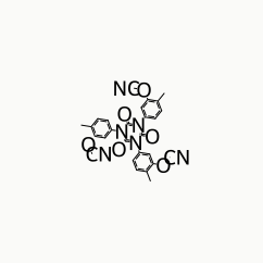 Cc1ccc(-n2c(=O)n(-c3ccc(C)c(OC#N)c3)c(=O)n(-c3ccc(C)c(OC#N)c3)c2=O)cc1OC#N